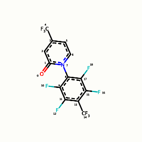 O=c1cc(C(F)(F)F)ccn1-c1c(F)c(F)c(C(F)(F)F)c(F)c1F